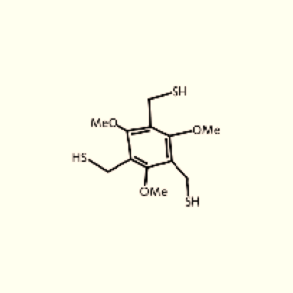 COc1c(CS)c(OC)c(CS)c(OC)c1CS